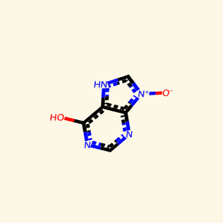 [O-][n+]1c[nH]c2c(O)ncnc21